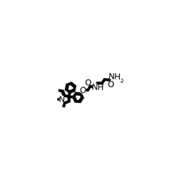 CC=C1N(C)C(C)CC1(c1ccccc1)c1cccc(OCC(=O)NCCCC(N)=O)c1